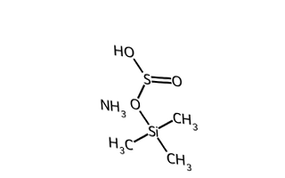 C[Si](C)(C)OS(=O)O.N